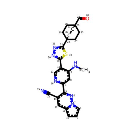 CNc1cc(-c2nn3cccc3cc2C#N)ncc1-c1nnc(C23CCC(C=O)(CC2)CC3)s1